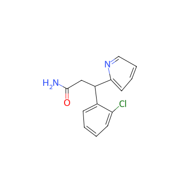 NC(=O)CC(c1ccccn1)c1ccccc1Cl